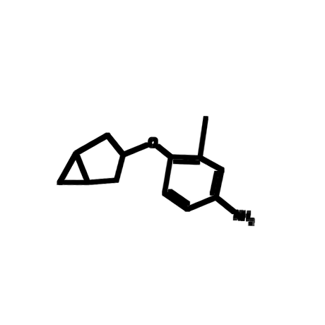 Cc1cc(N)ccc1OC1CC2CC2C1